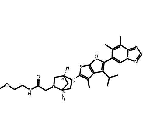 COCCNC(=O)CN1C[C@@H]2C[C@H]1C[C@H]2c1sc2[nH]c(-c3cn4ncnc4c(C)c3C)c(C(C)C)c2c1C